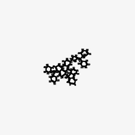 CC1(C)c2ccccc2-c2cccc(N3c4cc(-c5ccc(N(c6ccccc6)c6ccccc6)s5)ccc4-c4ccc(N(c5ccccc5)c5ccccc5)c5cccc3c45)c21